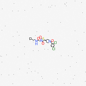 O=C(CN1C(=O)SC(=C2CCN(C(=O)c3ccc(Cl)cc3Cl)CC2)C1=O)NCCC1CCC1